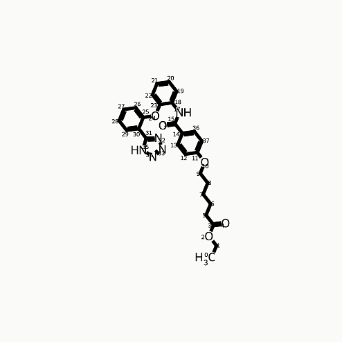 CCOC(=O)CCCCCOc1ccc(C(=O)Nc2ccccc2Oc2ccccc2-c2nnn[nH]2)cc1